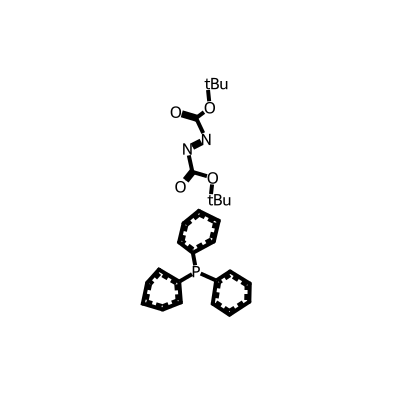 CC(C)(C)OC(=O)N=NC(=O)OC(C)(C)C.c1ccc(P(c2ccccc2)c2ccccc2)cc1